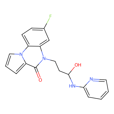 O=c1c2cccn2c2ccc(F)cc2n1CCC(O)Nc1ccccn1